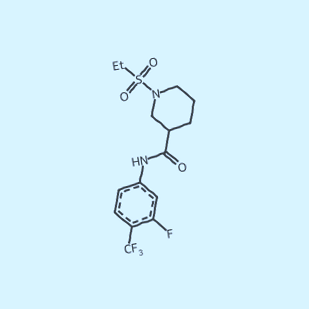 CCS(=O)(=O)N1CCCC(C(=O)Nc2ccc(C(F)(F)F)c(F)c2)C1